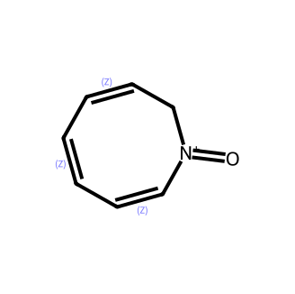 O=[N+]1\C=C/C=C\C=C/C1